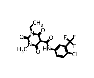 CCN1C(=O)C(C(=O)Nc2ccc(Cl)c(C(F)(F)F)c2)C(=O)N(C)C1=O